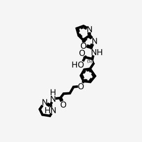 O=C(CCCOc1ccc(C[C@H](Nc2nc3ncccc3o2)C(=O)O)cc1)NC1=NCCCN1